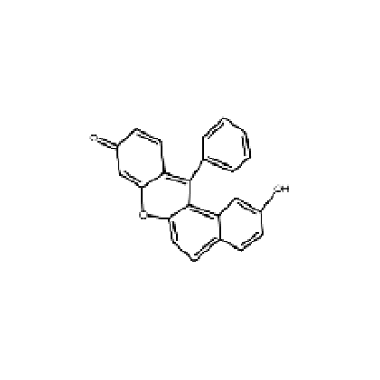 O=c1ccc2c(-c3ccccc3)c3c(ccc4ccc(O)cc43)oc-2c1